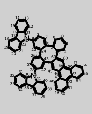 c1ccc2c(c1)-c1ccc(-n3c4ccccc4c4ccccc43)cc1-c1ccc(-n3c4ccccc4c4ccccc43)cc1-c1cc3c4ccccc4c4ccccc4c3cc1-2